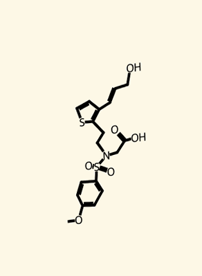 COc1ccc(S(=O)(=O)N(CCc2sccc2C=CCO)CC(=O)O)cc1